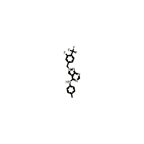 Cc1ccc(Nc2ncnc3nn(Cc4ccc(C(F)(F)F)c(F)c4)cc23)cc1